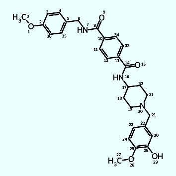 COc1ccc(CNC(=O)c2ccc(C(=O)NC3CCN(Cc4ccc(OC)c(O)c4)CC3)cc2)cc1